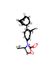 Cc1cc(N2C(=O)OCC2C)ccc1-c1ccccc1